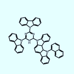 C1=C2c3ccccc3N(c3cccc4ccccc34)C2C2C(=C1)N(C1N=C(n3c4ccccc4c4ccccc43)N=C(n3c4ccccc4c4ccccc43)N1)c1ccccc12